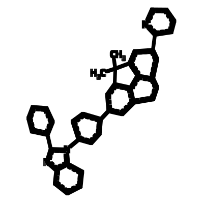 CC1(C)c2cc(-c3ccc(-n4c(-c5ccccc5)nc5ccccc54)cc3)cc3ccc4cc(-c5ccccn5)cc1c4c23